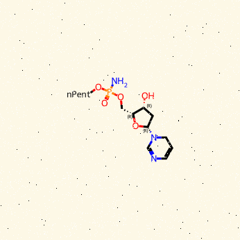 CCCCCOP(N)(=O)OC[C@H]1O[C@@H](N2C=NC=CC2)C[C@H]1O